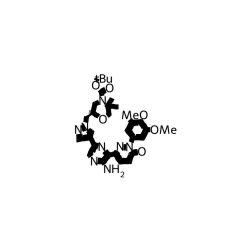 COc1cc(OC)cc(-n2nc(-c3nc(-c4cnn(C[C@H]5CN(C(=O)OC(C)(C)C)C(C)(C)CO5)c4)cnc3N)ccc2=O)c1